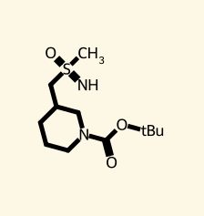 CC(C)(C)OC(=O)N1CCCC(CS(C)(=N)=O)C1